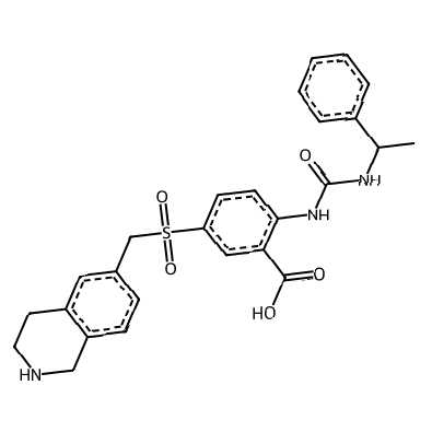 CC(NC(=O)Nc1ccc(S(=O)(=O)Cc2ccc3c(c2)CCNC3)cc1C(=O)O)c1ccccc1